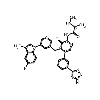 CN[C@@H](C)C(=O)Nc1ncc(-c2cccc(-c3nn[nH]n3)c2)n(Cc2cncc(-n3cc(C)c4cc(F)ccc43)c2)c1=O